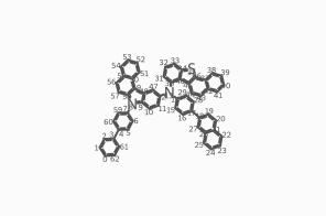 c1ccc(-c2ccc(-n3c4ccc(N(c5ccc(-c6ccc7ccccc7c6)cc5)c5cccc6sc7c8ccccc8ccc7c56)cc4c4c5ccccc5ccc43)cc2)cc1